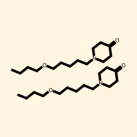 CCCCOCCCCCN1CCC(=O)CC1.CCCCOCCCCCN1CCC(=O)CC1